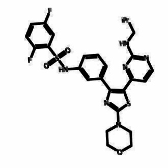 CC(C)CNc1nccc(-c2sc(N3CCOCC3)nc2-c2cccc(NS(=O)(=O)c3cc(F)ccc3F)c2)n1